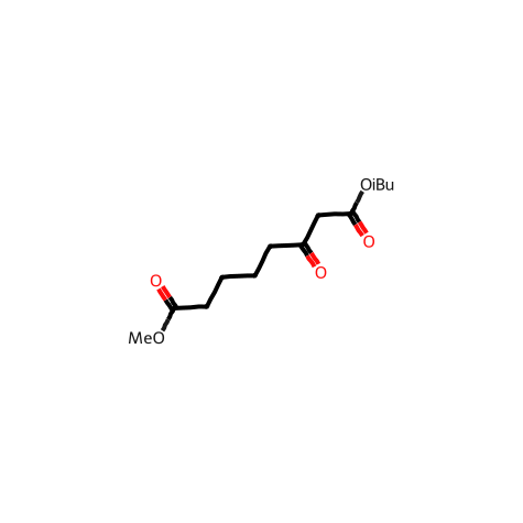 COC(=O)CCCCC(=O)CC(=O)OCC(C)C